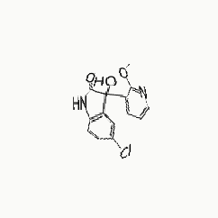 COc1ncccc1C1(O)C(=O)Nc2ccc(Cl)cc21